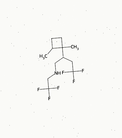 CC1CCC1(C)C(CNCC(F)(F)F)CC(F)(F)F